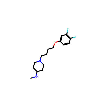 CNC1CCN(CCCCOc2ccc(F)c(F)c2)CC1